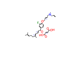 C=CCN(C)C/C=C/COc1ccc(C(=O)/C=C/C=C(\C)CCC=C(C)C)cc1F.O=C(O)/C=C/C(=O)O